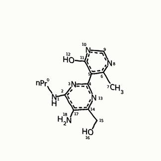 CCCNc1nc(-c2c(C)ncnc2O)nc(CO)c1N